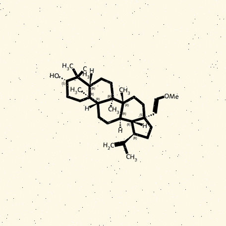 C=C(C)[C@@H]1CC[C@]2(C=COC)CC[C@]3(C)[C@H](CC[C@@H]4[C@@]5(C)CC[C@H](O)C(C)(C)[C@@H]5CC[C@]43C)[C@@H]12